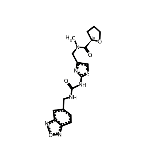 CN(Cc1csc(NC(=O)NCc2ccc3nonc3c2)n1)C(=O)[C@H]1CCCO1